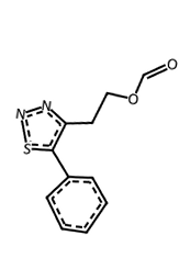 O=COCCc1nnsc1-c1ccccc1